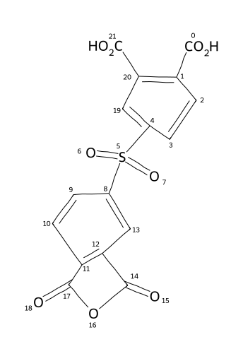 O=C(O)c1ccc(S(=O)(=O)c2ccc3c(c2)C(=O)OC3=O)cc1C(=O)O